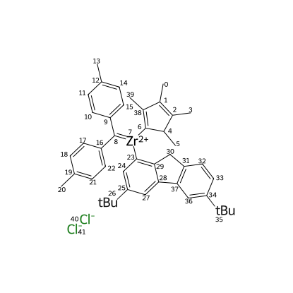 CC1=C(C)C(C)[C]([Zr+2](=[C](c2ccc(C)cc2)c2ccc(C)cc2)[c]2cc(C(C)(C)C)cc3c2Cc2ccc(C(C)(C)C)cc2-3)=C1C.[Cl-].[Cl-]